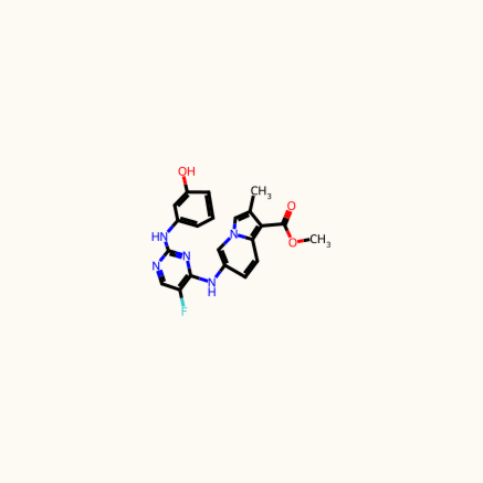 COC(=O)c1c(C)cn2cc(Nc3nc(Nc4cccc(O)c4)ncc3F)ccc12